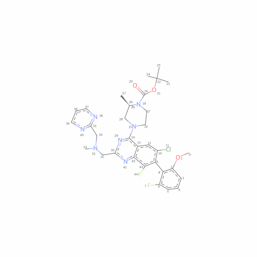 COc1cccc(F)c1-c1c(Cl)cc2c(N3CCN(C(=O)OC(C)(C)C)[C@H](C)C3)nc(CN(C)Cc3ncccn3)nc2c1F